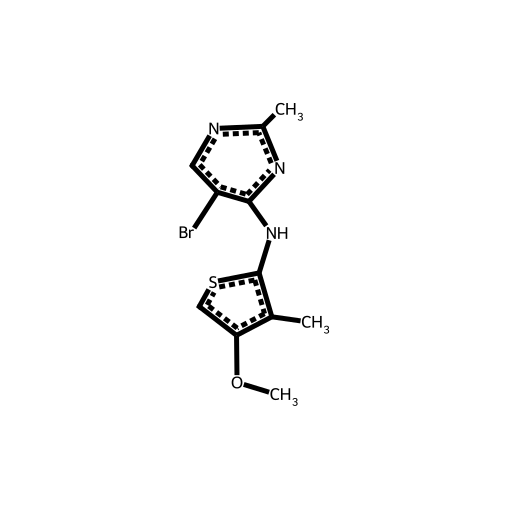 COc1csc(Nc2nc(C)ncc2Br)c1C